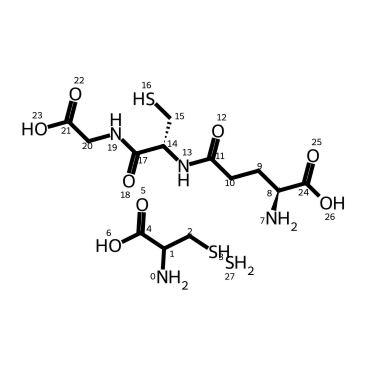 NC(CS)C(=O)O.N[C@@H](CCC(=O)N[C@@H](CS)C(=O)NCC(=O)O)C(=O)O.S